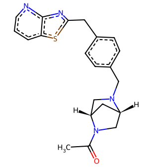 CC(=O)N1C[C@@H]2C[C@H]1CN2Cc1ccc(Cc2nc3ncccc3s2)cc1